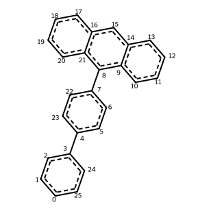 c1ccc(-c2ccc(-c3c4ccccc4cc4ccccc34)cc2)cc1